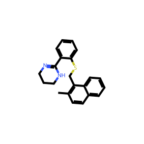 Cc1ccc2ccccc2c1CSc1ccccc1C1=NCCCN1